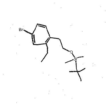 CCc1cc(Br)ccc1CCO[Si](C)(C)C(C)(C)C